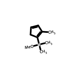 C[O][Ti]([CH3])([CH3])[C]1=C(C)C=CC1